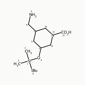 CC(C)(C)[Si](C)(C)OC1CC(CN)CN(C(=O)O)C1